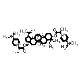 C=C(C)[C@@H]1CC[C@]2(COC(=O)C(C)[N+]3=CC=C(N(C)C)CC3)CC[C@]3(C)C(CCC4[C@@]5(C)CC[C@H](OC(=O)C(C)[n+]6ccc(N(C)C)cc6)C(C)(C)C5CC[C@]43C)C12